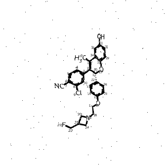 CC1=C(c2ccc(C#N)c(Cl)c2)[C@@H](c2ccc(OCCN3CC(CF)C3)cc2)Oc2ccc(O)cc21